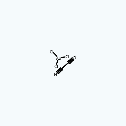 N#CC#N.[Cl][Au]([Cl])[Cl]